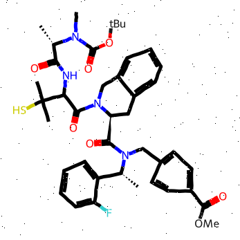 COC(=O)c1ccc(CN(C(=O)[C@@H]2Cc3ccccc3CN2C(=O)C(NC(=O)[C@H](C)N(C)C(=O)OC(C)(C)C)C(C)(C)S)[C@H](C)c2ccccc2F)cc1